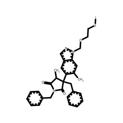 Cc1cc2c(cnn2COCCSI)cc1C1(Cc2ccccc2)C(=O)N(Cc2ccccc2)C(=O)C1C